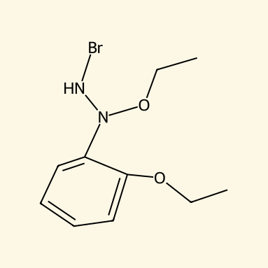 CCOc1ccccc1N(NBr)OCC